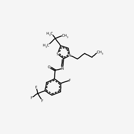 CCCCn1cc(C(C)(C)C)s/c1=N\C(=O)c1cc(C(F)(F)F)ccc1F